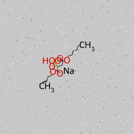 CC=CCCOC(=O)C(CC(=O)OCCCCCC)S(=O)(=O)O.[Na]